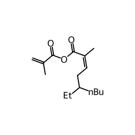 C=C(C)C(=O)OC(=O)C(C)=CCC(CC)CCCC